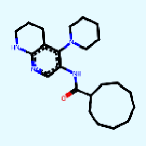 O=C(Nc1cnc2c(c1N1CCCCC1)CCCN2)C1CCCCCCCC1